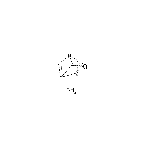 N.O=C1C2=CN1CS2